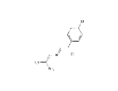 CCc1ccc(CC=NN=C(N)N)cc1.Cl